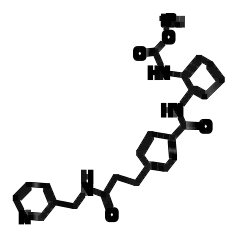 CC(C)(C)OC(=O)Nc1ccccc1NC(=O)c1ccc(CCC(=O)NCc2cccnc2)cc1